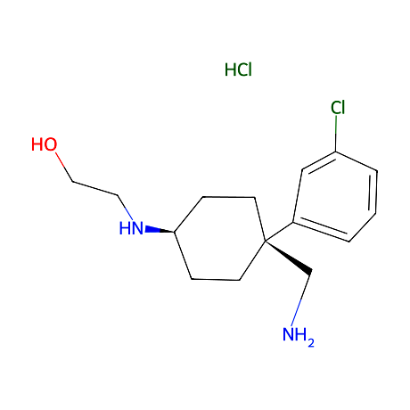 Cl.NC[C@]1(c2cccc(Cl)c2)CC[C@H](NCCO)CC1